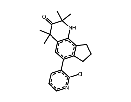 CC1(C)Nc2c(cc(-c3cccnc3Cl)c3c2CCC3)C(C)(C)C1=O